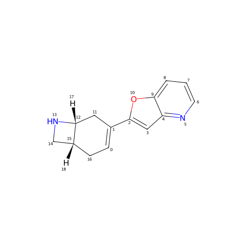 C1=C(c2cc3ncccc3o2)C[C@H]2NC[C@H]2C1